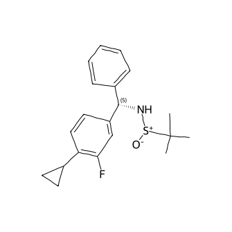 CC(C)(C)[S+]([O-])N[C@@H](c1ccccc1)c1ccc(C2CC2)c(F)c1